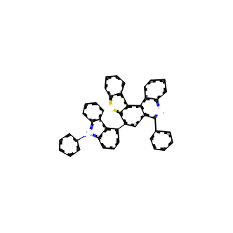 c1ccc(-c2nc3ccccc3c3c2cc(-c2cccc4c2c2ccccc2n4-c2ccccc2)c2sc4ccccc4c23)cc1